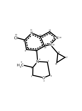 CC1COCCN1c1cc(Cl)nc2cnn(C3CC3)c12